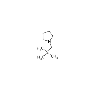 CS(C)(C)CN1CCCC1